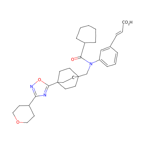 O=C(O)/C=C/c1cccc(N(CC23CCC(c4nc(C5CCOCC5)no4)(CC2)CC3)C(=O)C2CCCCC2)c1